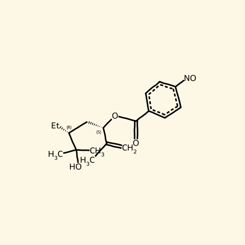 C=C(C)[C@H](C[C@@H](CC)C(C)(C)O)OC(=O)c1ccc(N=O)cc1